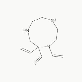 C=CN1CCNCCNCC1(C=C)C=C